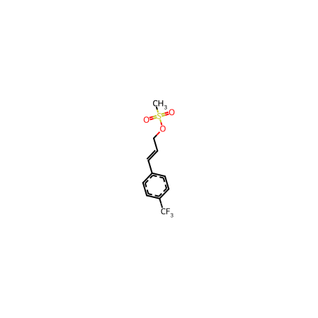 CS(=O)(=O)OC/C=C/c1ccc(C(F)(F)F)cc1